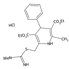 CCOC(=O)C1=C(C)NC(CSC(=N)NC)=C(C(=O)OCC)C1c1ccccc1.Cl